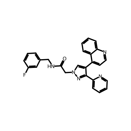 O=C(Cn1cc(-c2ccnc3ccccc23)c(-c2ccccn2)n1)NCc1cccc(F)c1